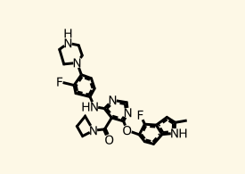 Cc1cc2c(F)c(Oc3ncnc(Nc4ccc(N5CCNCC5)c(F)c4)c3C(=O)N3CCC3)ccc2[nH]1